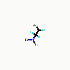 CCN(CC)C(F)(F)C(F)C(C)=O